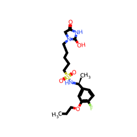 CCCOc1cc([C@H](C)NS(=O)(=O)CCCCCN2CC(=O)NC2O)ccc1F